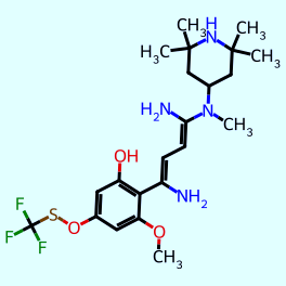 COc1cc(OSC(F)(F)F)cc(O)c1/C(N)=C/C=C(\N)N(C)C1CC(C)(C)NC(C)(C)C1